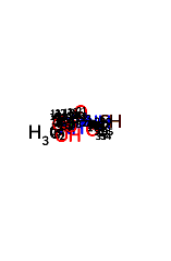 C[C@H](O)C(=O)NS(=O)(=O)c1c(-c2ccccc2)ccc(C(=O)NCCNC(=O)[C@@H](CS)C2CCCCC2)c1F